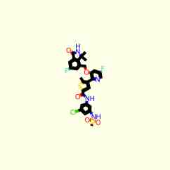 Cc1sc(C(=O)Nc2cc(Cl)cc(NS(C)(=O)=O)c2)cc1-c1ncc(F)cc1OCc1cc(F)cc2c1C(C)(C)NC2=O